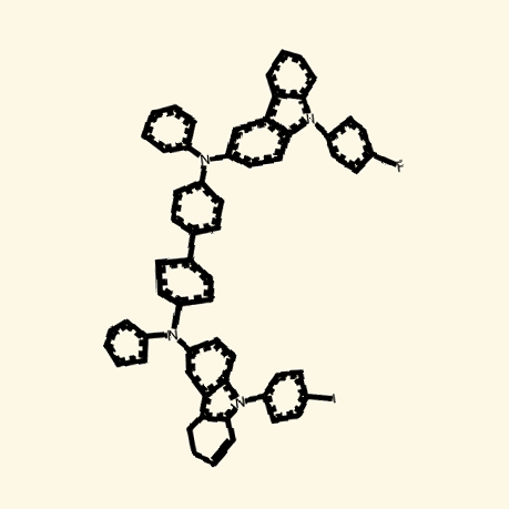 Fc1ccc(-n2c3ccccc3c3cc(N(c4ccccc4)c4ccc(-c5ccc(N(c6ccccc6)c6ccc7c(c6)c6c(n7-c7ccc(I)cc7)C=CCC6)cc5)cc4)ccc32)cc1